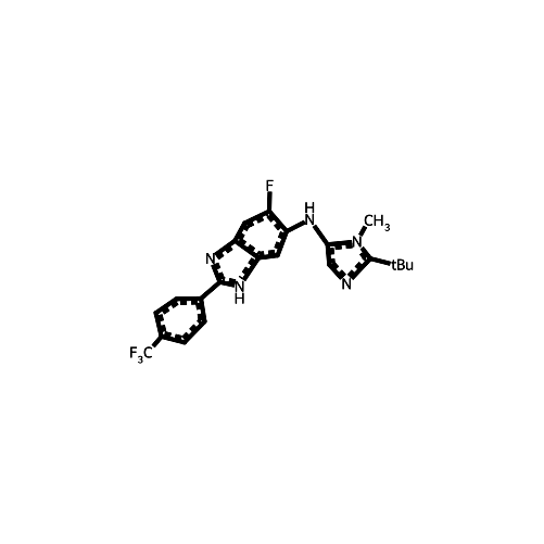 Cn1c(Nc2cc3[nH]c(-c4ccc(C(F)(F)F)cc4)nc3cc2F)cnc1C(C)(C)C